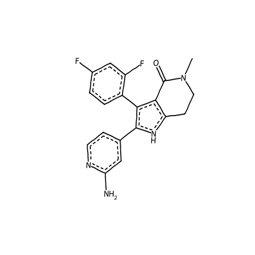 CN1CCc2[nH]c(-c3ccnc(N)c3)c(-c3ccc(F)cc3F)c2C1=O